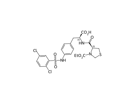 CCOC(=O)N1CSC[C@@H]1C(=O)N[C@@H](Cc1ccc(NS(=O)(=O)c2cc(Cl)ccc2Cl)cc1)C(=O)O